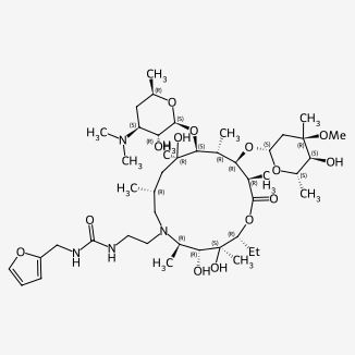 CC[C@H]1OC(=O)[C@H](C)[C@H](O[C@@H]2C[C@@](C)(OC)[C@@H](O)[C@H](C)O2)[C@@H](C)[C@H](O[C@@H]2O[C@H](C)C[C@H](N(C)C)[C@H]2O)[C@](C)(O)C[C@@H](C)CN(CCNC(=O)NCc2ccco2)[C@H](C)[C@@H](O)[C@]1(C)O